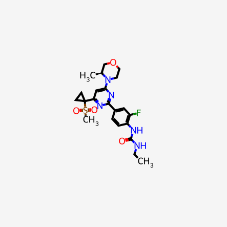 CCNC(=O)Nc1ccc(-c2nc(N3CCOC[C@@H]3C)cc(C3(S(C)(=O)=O)CC3)n2)cc1F